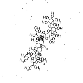 C/C=C(\C)C(=O)O[C@H]1[C@H](OC(=O)/C(C)=C/C)[C@]23C(O)O[C@@]4(CCC5[C@@]6(C)CC[C@H](O[C@@H]7O[C@H](C(=O)O)[C@@H](O)[C@H](O[C@@H]8O[C@H](CO)[C@H](O)[C@H](O)[C@H]8O[C@@H]8O[C@@H](C)[C@H](O)[C@@H](O)[C@H]8O)[C@H]7O[C@@H]7O[C@H](CO)[C@H](O)[C@H](O)[C@H]7O)C(C)(C)C6CC[C@@]5(C)[C@]4(C)C[C@H]2O)C3CC1(C)C